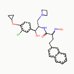 O=C(NC(CN1CCC1)C(O)c1ccc(OC2CC2)c(Cl)c1)/C(CCc1ccc2ccccc2c1)=N/O